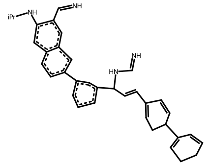 CC(C)Nc1cc2ccc(-c3cccc(C(/C=C/C4=CCC(C5=CCCC=C5)C=C4)NC=N)c3)cc2cc1C=N